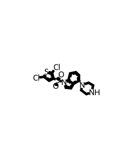 O=S(=O)(c1cc(Cl)sc1Cl)n1ccc2c(N3CCNCC3)cccc21